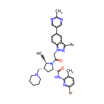 C#C[C@@H]1[C@@H](CN2CCCCC2)C[C@@H](C(=O)Nc2nc(Br)ccc2C)N1C(=O)Cn1nc(C(C)=O)c2cc(-c3cnc(C)nc3)ccc21